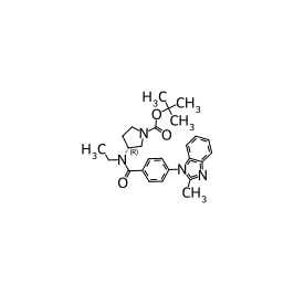 CCN(C(=O)c1ccc(-n2c(C)nc3ccccc32)cc1)[C@@H]1CCN(C(=O)OC(C)(C)C)C1